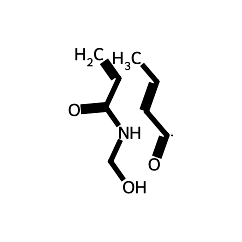 C=CC(=O)NCO.CC=C[C]=O